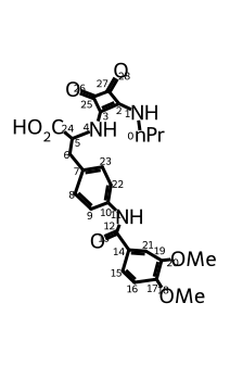 CCCNc1c(NC(Cc2ccc(NC(=O)c3ccc(OC)c(OC)c3)cc2)C(=O)O)c(=O)c1=O